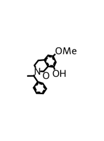 COc1cc(O)c2c(c1)CCN(C(C)c1ccccc1)C2=O